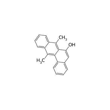 Cc1c2ccccc2c(C)c2c1c(O)cc1ccccc12